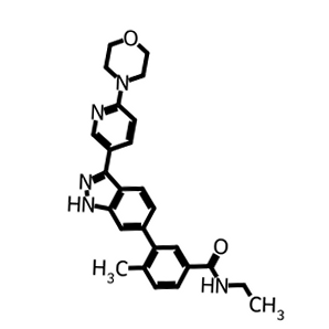 CCNC(=O)c1ccc(C)c(-c2ccc3c(-c4ccc(N5CCOCC5)nc4)n[nH]c3c2)c1